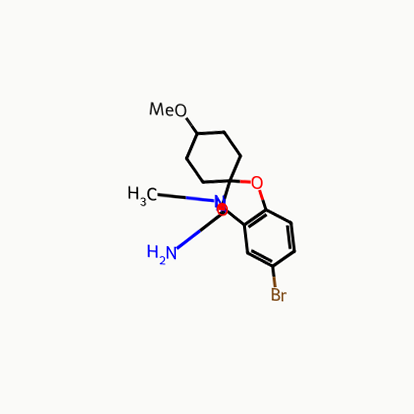 COC1CCC2(CC1)Oc1ccc(Br)cc1C21N=C(N)N(C)O1